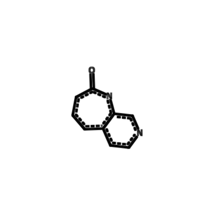 O=c1cccc2ccncc2n1